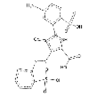 Nc1ccc(S(=O)(=O)O)c(-n2[nH]c(C(=O)O)c(N=Nc3ccccc3S(=O)(=O)O)c2=O)c1